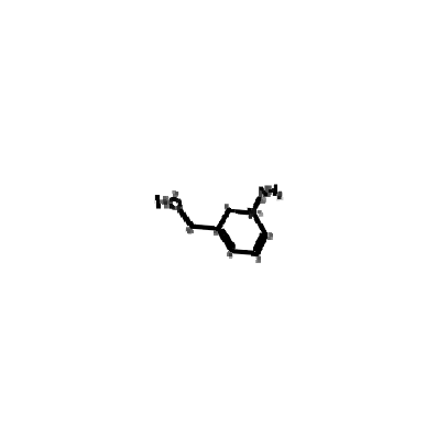 NN1C=CC=C(CO)C1